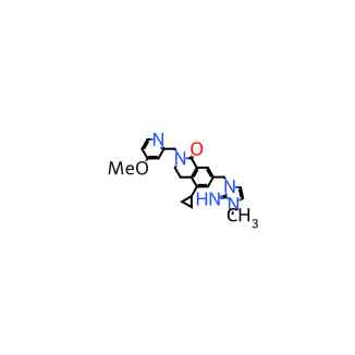 COc1ccnc(CN2CCc3c(cc(Cn4ccn(C)c4=N)cc3C3CC3)C2=O)c1